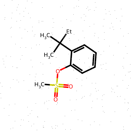 CCC(C)(C)c1ccccc1OS(C)(=O)=O